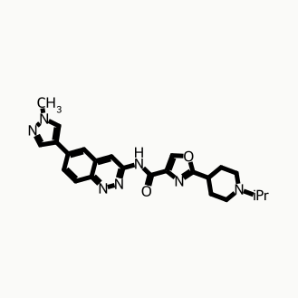 CC(C)N1CCC(c2nc(C(=O)Nc3cc4cc(-c5cnn(C)c5)ccc4nn3)co2)CC1